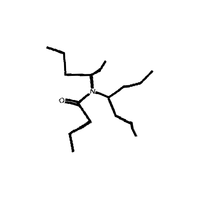 CCCC(=O)N(C(C)CCC)C(CCC)CCC